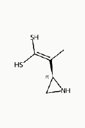 CC(=C(S)S)[C@@H]1CN1